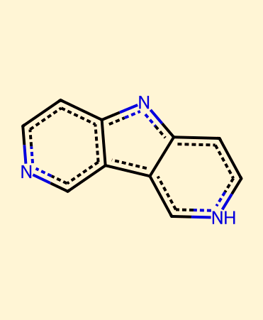 c1cc2nc3cc[nH]cc-3c2cn1